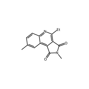 CCc1nc2ccc(C)cc2c2c1C(=O)N(C)C2=O